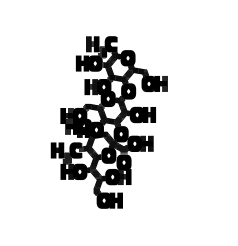 CC1OC(CO)C(OC2OC(CO)C(O)C(OC3(C(=O)O)CC(O)C(C)C(C(O)C(O)CO)O3)C2O)C(O)C1O